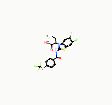 CCC(C(=O)O)n1/c(=N/C(=O)c2ccc(OC(F)(F)F)cc2)sc2cc(F)c(F)cc21